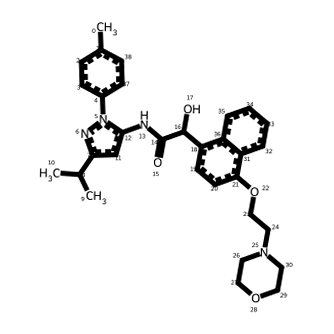 Cc1ccc(-n2nc(C(C)C)cc2NC(=O)C(O)c2ccc(OCCN3CCOCC3)c3ccccc23)cc1